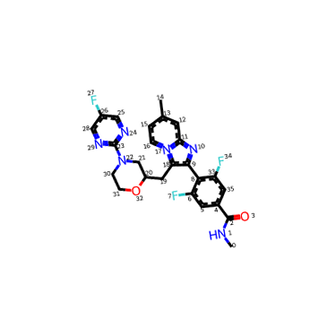 CNC(=O)c1cc(F)c(-c2nc3cc(C)ccn3c2CC2CN(c3ncc(F)cn3)CCO2)c(F)c1